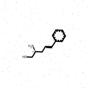 N[C@H](CO)C/C=C/c1ccccc1